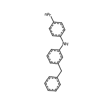 CCCc1ccc(Nc2cccc(Cc3ccccc3)c2)cc1